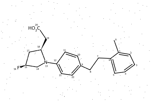 Cc1ccccc1CCc1ccc(N2C[C@@H](F)C[C@H]2CC(=O)O)cc1